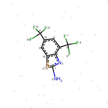 Nc1nc2c(C(F)(F)F)cc(C(F)(F)F)cc2s1